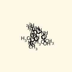 [2H]C([2H])([2H])NC(=O)c1nnc(Nc2ccc(C(C)(C)O)cn2)cc1Nc1nccc2c1N(C)[C@H](C)c1nn(C)nc1-2